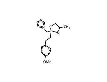 COc1ccc(CCC2(Cn3ccnc3)SCC(C)S2)cc1